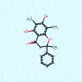 Cc1c(O)c(C)c2c(c1O)C(=O)CC(C)(c1ccccc1)O2